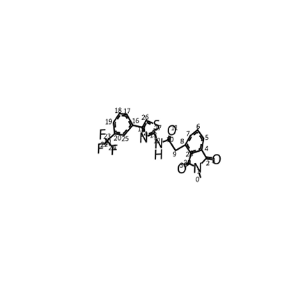 CN1C(=O)c2cccc(CC(=O)Nc3nc(-c4cccc(C(F)(F)F)c4)cs3)c2C1=O